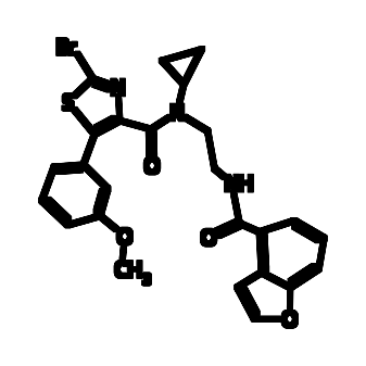 COc1cccc(-c2sc(Br)nc2C(=O)N(CCNC(=O)c2cccc3occc23)C2CC2)c1